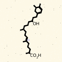 CC1=CC=C(CCC(O)CCCC(C)CC/C=C(\C)CCCC(C)C(=O)O)CC1C